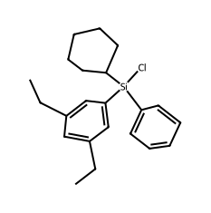 CCc1cc(CC)cc([Si](Cl)(c2ccccc2)C2CCCCC2)c1